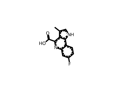 Cc1c[nH]c2c1c(C(=O)O)nc1cc(F)ccc12